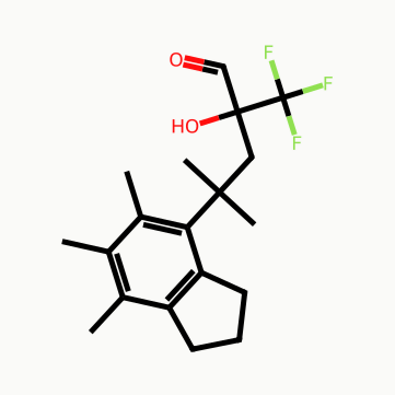 Cc1c(C)c2c(c(C(C)(C)CC(O)(C=O)C(F)(F)F)c1C)CCC2